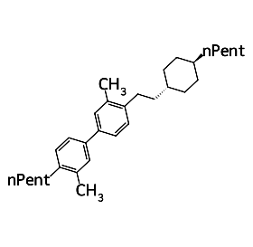 CCCCCc1ccc(-c2ccc(CC[C@H]3CC[C@H](CCCCC)CC3)c(C)c2)cc1C